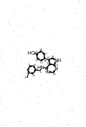 Cc1cccc(CNc2ncnc3[nH]cc(-c4ccc(O)cc4)c23)c1